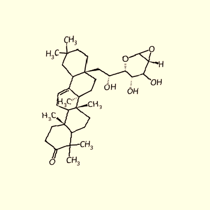 CC1(C)CC[C@]2(C[C@@H](O)[C@@H]3OC4O[C@@H]4C(O)[C@@H]3O)CC[C@]3(C)C(=CCC4[C@@]5(C)CCC(=O)C(C)(C)C5CC[C@]43C)C2C1